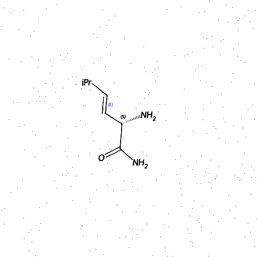 CC(C)/C=C/[C@H](N)C(N)=O